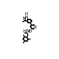 Cc1cc(C)c(CC(C)NOc2cncc(-c3ccc4[nH]nc(C)c4c3)c2)c(C)c1